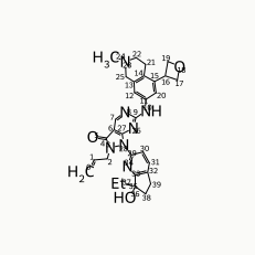 C=CCn1c(=O)c2cnc(Nc3cc4c(c(C5COC5)c3)CCN(C)C4)nc2n1-c1ccc2c(n1)[C@](O)(CC)CC2